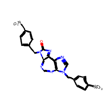 O=c1nc2c3ncn(Cc4ccc([N+](=O)[O-])cc4)c3ncnc-2n1Cc1ccc([N+](=O)[O-])cc1